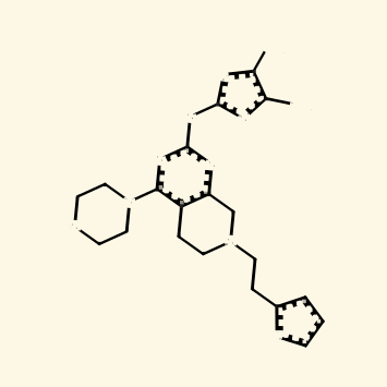 CCOC(=O)c1sc(Nc2nc3c(c(N4CCNCC4)n2)CCN(CCc2cccs2)C3)nc1C